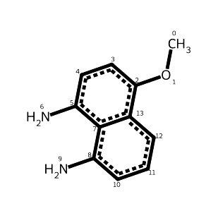 COc1ccc(N)c2c(N)cccc12